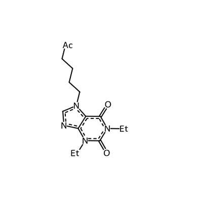 CCn1c(=O)c2c(ncn2CCCCC(C)=O)n(CC)c1=O